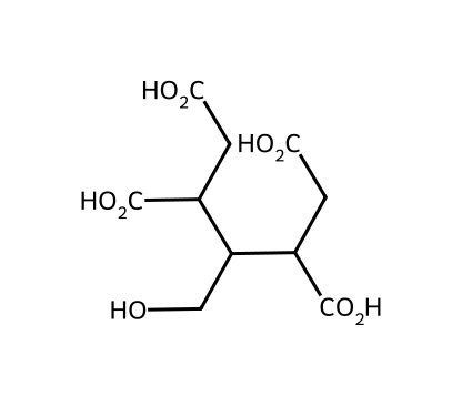 O=C(O)CC(C(=O)O)C(CO)C(CC(=O)O)C(=O)O